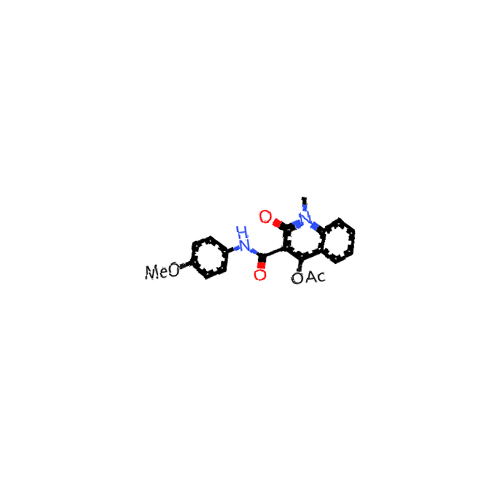 COc1ccc(NC(=O)c2c(OC(C)=O)c3ccccc3n(C)c2=O)cc1